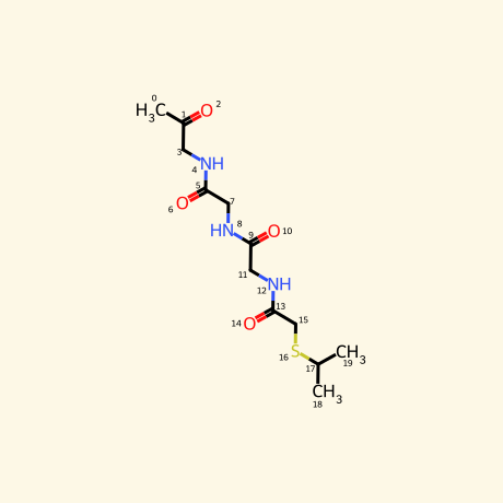 CC(=O)CNC(=O)CNC(=O)CNC(=O)CSC(C)C